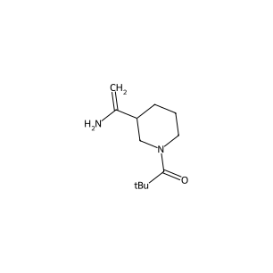 C=C(N)C1CCCN(C(=O)C(C)(C)C)C1